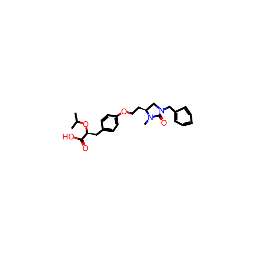 CC(C)O[C@@H](Cc1ccc(OCC[C@H]2CN(Cc3ccccc3)C(=O)N2C)cc1)C(=O)O